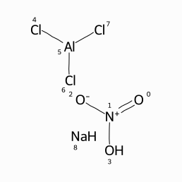 O=[N+]([O-])O.[Cl][Al]([Cl])[Cl].[NaH]